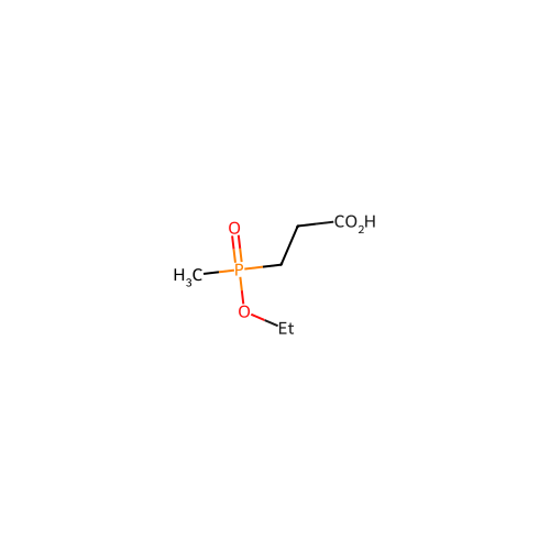 CCOP(C)(=O)CCC(=O)O